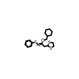 c1ccc(S/N=C(/CC2SCCS2)OCC2CCCCC2)cc1